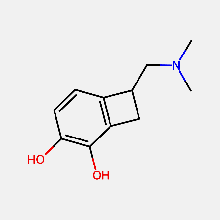 CN(C)CC1Cc2c1ccc(O)c2O